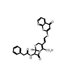 O=C(Cc1ccccc1)NC1C(=O)N2C(C(=O)O)=C(C=CSc3cc(=O)c4cccnc4s3)CS[C@@H]12